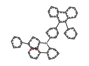 c1ccc(-c2ccc(N(c3ccc(-c4c(-c5ccccc5)c5ccccc5c5ccccc45)cc3)c3ccccc3-c3ccccc3)cc2)cc1